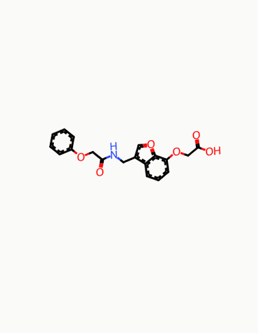 O=C(O)COc1cccc2c(CNC(=O)COc3ccccc3)coc12